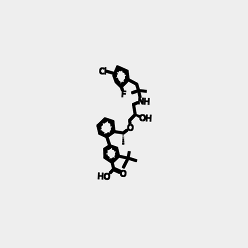 C[C@@H](OC[C@H](O)CNC(C)(C)Cc1ccc(Cl)cc1F)c1ccccc1-c1ccc(C(=O)O)c(C(C)(C)C)c1